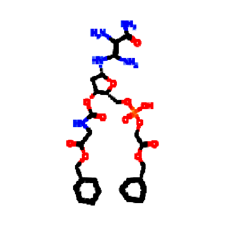 NC(=O)/C(N)=C(\N)N[C@H]1C[C@@H](OC(=O)NCC(=O)OCc2ccccc2)[C@@H](COP(=O)(O)OCC(=O)OCc2ccccc2)O1